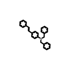 C(=C\c1ccc(N(Cc2ccccc2)Cc2ccccc2)cc1)/c1ccccc1